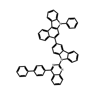 c1ccc(-c2ccc(-c3nc(-n4c5ccccc5c5cc(-c6cc7c(c8ccccc68)c6ccccc6n7-c6ccccc6)ccc54)nc4ccccc34)cc2)cc1